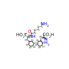 NCCCCCC(=O)N[C@@H](Cc1ccccc1)C(=O)O.N[C@H](Cc1ccccc1)C(=O)O